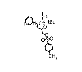 Cc1ccc(S(=O)(=O)OC[C@@H](CCc2cccnc2)O[Si](C)(C)C(C)(C)C)cc1